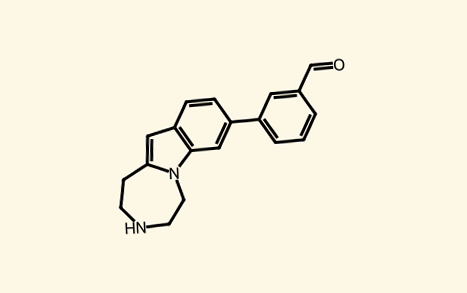 O=Cc1cccc(-c2ccc3cc4n(c3c2)CCNCC4)c1